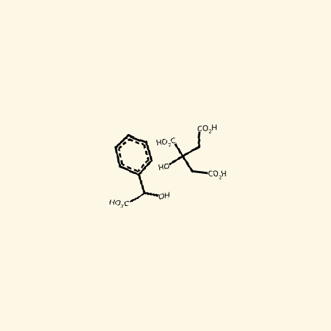 O=C(O)C(O)c1ccccc1.O=C(O)CC(O)(CC(=O)O)C(=O)O